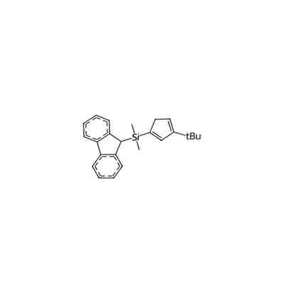 CC(C)(C)C1=CCC([Si](C)(C)C2c3ccccc3-c3ccccc32)=C1